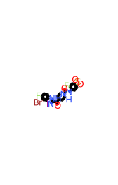 CS(=O)(=O)c1ccc(NC(=O)N2CCC(C(=O)/C(=N/I)Nc3ccc(F)c(Br)c3)CC2)c(F)c1